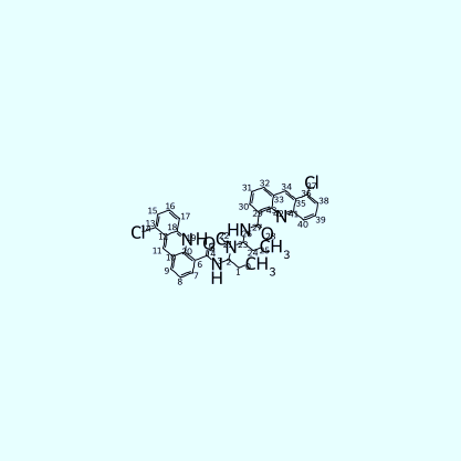 CCC(NC(=O)c1cccc2cc3c(Cl)cccc3nc12)N(C)C(CC)NC(=O)c1cccc2cc3c(Cl)cccc3nc12